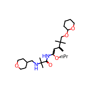 C=C(/C=C(/NC(=O)C(C)(C)NCC1CCOCC1)OCCC)C(C)(C)COC1CCCCO1